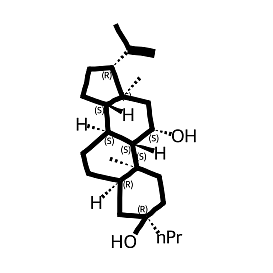 C=C(C)[C@H]1CC[C@H]2[C@@H]3CC[C@@H]4C[C@@](O)(CCC)CC[C@]4(C)[C@H]3[C@@H](O)C[C@]12C